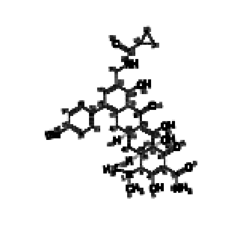 CN(C)C1C(O)=C(C(N)=O)C(=O)[C@]2(O)C(O)=C3C(=O)c4c(O)c(CNC(=O)C5CC5)cc(-c5ccc(C(C)(C)C)cc5)c4C[C@@H]3C[C@H]12